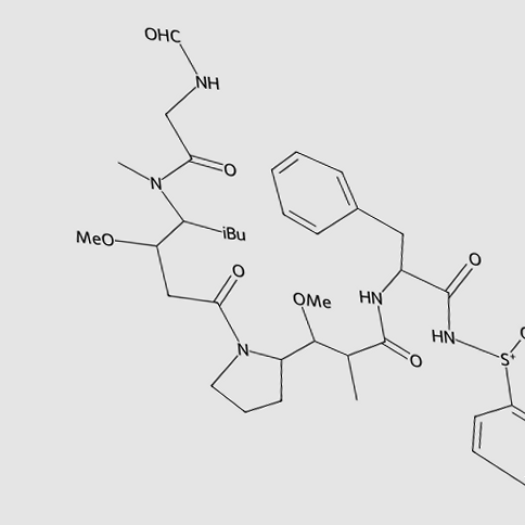 CCC(C)C(C(CC(=O)N1CCCC1C(OC)C(C)C(=O)NC(Cc1ccccc1)C(=O)N[S+]([O-])c1ccc(NC)cc1)OC)N(C)C(=O)CNC=O